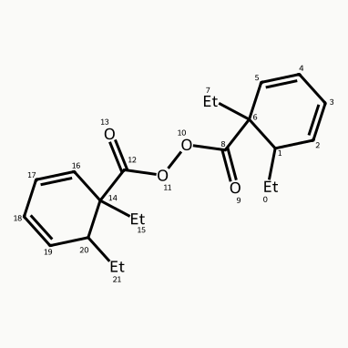 CCC1C=CC=CC1(CC)C(=O)OOC(=O)C1(CC)C=CC=CC1CC